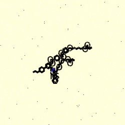 C=CC(=O)OCCCCCCOc1ccc(OC(=O)C2CCC(C(=O)Oc3ccc(C4CCC(CCC)CC4)cc3/C=N/N(CCOCCOCCOC(=O)C=C)c3nc4ccccc4s3)CC2)cc1